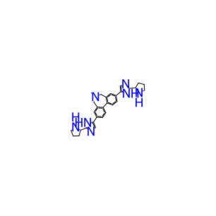 CN1Cc2cc(-c3cnc(C4CCCN4)[nH]3)ccc2-c2ccc(-c3cnc(C4CCCN4)[nH]3)cc2C1